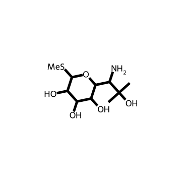 CSC1OC(C(N)C(C)(C)O)C(O)C(O)C1O